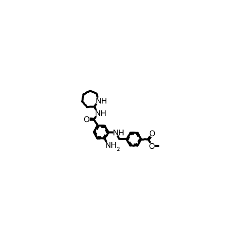 COC(=O)c1ccc(CNc2cc(C(=O)NC3CCCCCN3)ccc2N)cc1